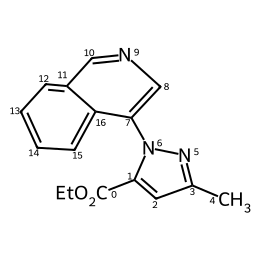 CCOC(=O)c1cc(C)nn1-c1cncc2ccccc12